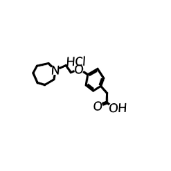 Cl.O=C(O)Cc1ccc(OCCN2CCCCCC2)cc1